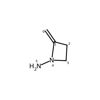 C=C1CCN1N